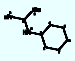 CCCC(NC1CCCCC1)C(C)(C)C